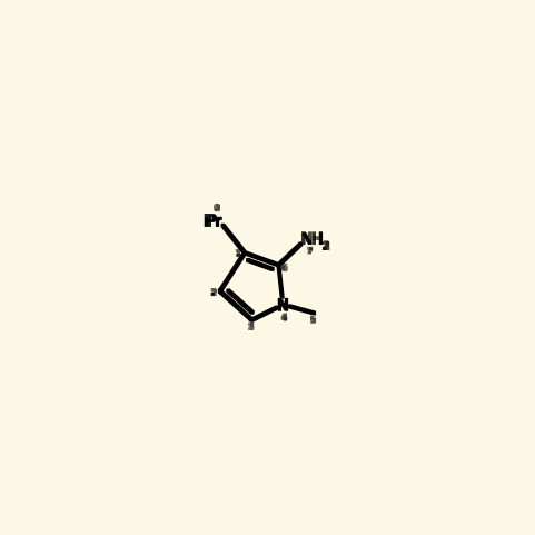 CC(C)c1ccn(C)c1N